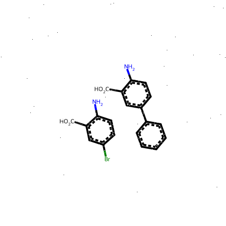 Nc1ccc(-c2ccccc2)cc1C(=O)O.Nc1ccc(Br)cc1C(=O)O